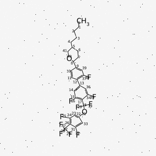 CCCCCC1CCC(c2ccc(-c3cc(F)c(C(F)(F)Oc4cc(F)c(C(F)(F)F)c(F)c4)c(F)c3)c(F)c2)OC1